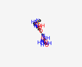 CNc1cc(NC(=O)CN2CC[C@@H](CCCOc3ccc(-c4ccc(N5CCc6cccc(C(=O)Nc7nc8ccccc8s7)c6C5)nc4C(=O)O)c(C)c3)C[C@H]2C)ccc1C(=N)C1CCC(=O)NC1=O